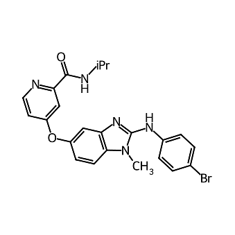 CC(C)NC(=O)c1cc(Oc2ccc3c(c2)nc(Nc2ccc(Br)cc2)n3C)ccn1